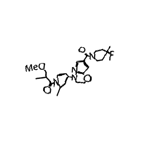 COCC(C)C(=O)N1C=CC(N2CCOc3cc(C(=O)N4CCC(C)(F)CC4)cnc32)=CC1C